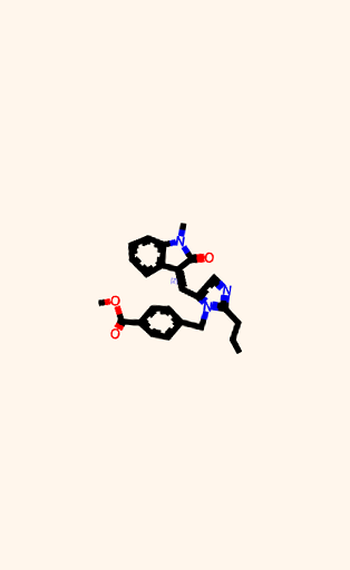 CCCc1ncc(/C=C2\C(=O)N(C)c3ccccc32)n1Cc1ccc(C(=O)OC)cc1